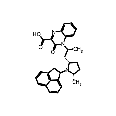 C[C@H]1CC[C@@H](C[C@H](C)n2c(=O)c(C(=O)O)nc3ccccc32)N1C1Cc2cccc3cccc1c23